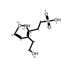 O=S(=O)(O)CCC1=C(CCO)C=CON1